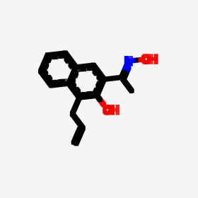 C=CCc1c(O)c(C(C)=NO)cc2ccccc12